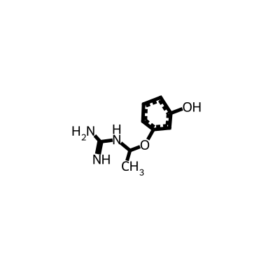 CC(NC(=N)N)Oc1cccc(O)c1